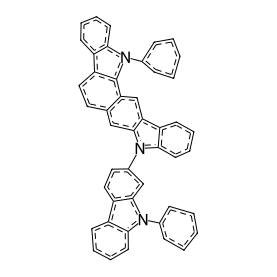 c1ccc(-n2c3ccccc3c3ccc(-n4c5ccccc5c5cc6c(ccc7c8ccccc8n(-c8ccccc8)c67)cc54)cc32)cc1